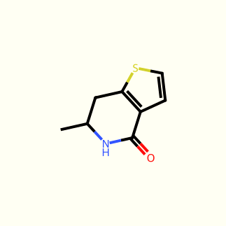 CC1Cc2sccc2C(=O)N1